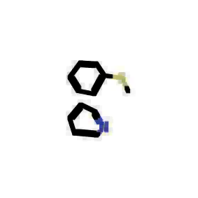 CSc1ccccc1.c1ccncc1